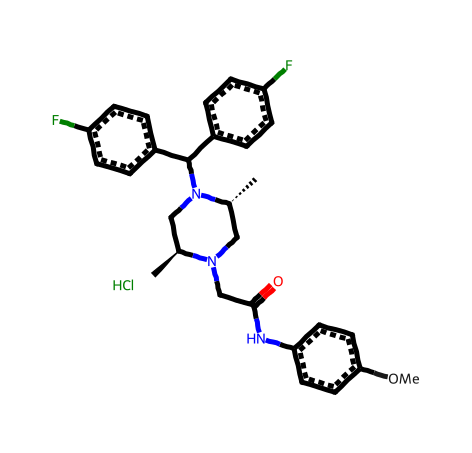 COc1ccc(NC(=O)CN2C[C@@H](C)N(C(c3ccc(F)cc3)c3ccc(F)cc3)C[C@@H]2C)cc1.Cl